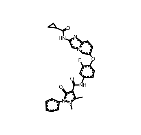 Cc1c(C(=O)Nc2ccc(Oc3ccc4nc(NC(=O)C5CC5)cn4c3)c(F)c2)c(=O)n(-c2ccccc2)n1C